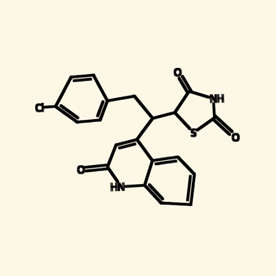 O=C1NC(=O)C(C(Cc2ccc(Cl)cc2)c2cc(=O)[nH]c3ccccc23)S1